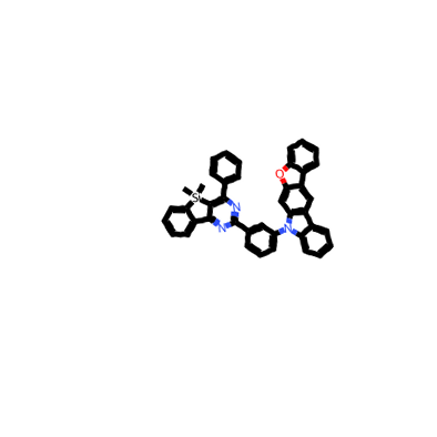 C[Si]1(C)c2ccccc2-c2nc(-c3cccc(-n4c5ccccc5c5cc6c(cc54)oc4ccccc46)c3)nc(-c3ccccc3)c21